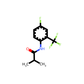 CC(C)C(=O)Nc1ccc(F)cc1C(F)(F)F